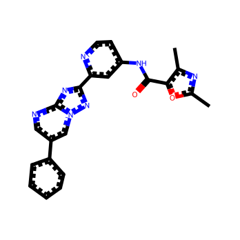 Cc1nc(C)c(C(=O)Nc2ccnc(-c3nc4ncc(-c5ccccc5)cn4n3)c2)o1